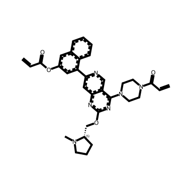 C=CC(=O)Oc1cc(-c2cc3nc(OC[C@@H]4CCCN4C)nc(N4CCN(C(=O)C=C)CC4)c3cn2)c2ccccc2c1